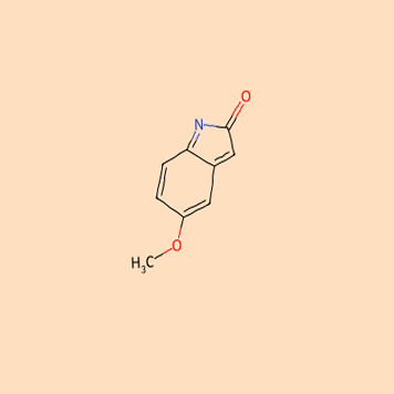 COc1ccc2c(c1)=CC(=O)N=2